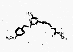 CNC(=O)CCCC#Cc1cc(OCc2ccc(OC)cc2)nc(C)n1